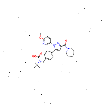 COc1ccc(-n2nc(C(=O)N3CCCCC3)cc2-c2ccc(CN(C(=O)O)C(C)(C)C)cc2)cn1